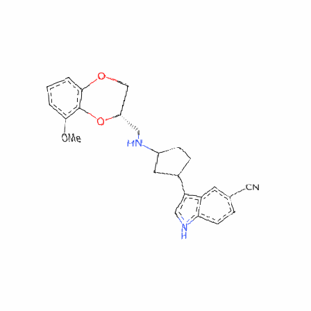 COc1cccc2c1O[C@@H](CNC1CCC(c3c[nH]c4ccc(C#N)cc34)C1)CO2